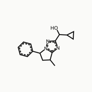 CC1CC(c2ccccc2)n2nc(C(O)C3CC3)nc21